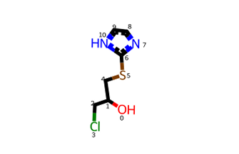 OC(CCl)CSc1ncc[nH]1